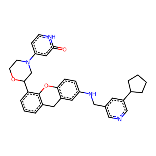 O=c1cc(N2CCOC(c3cccc4c3Oc3ccc(NCc5cncc(C6CCCC6)c5)cc3C4)C2)cc[nH]1